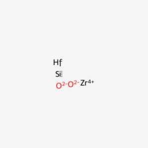 [Hf].[O-2].[O-2].[Si].[Zr+4]